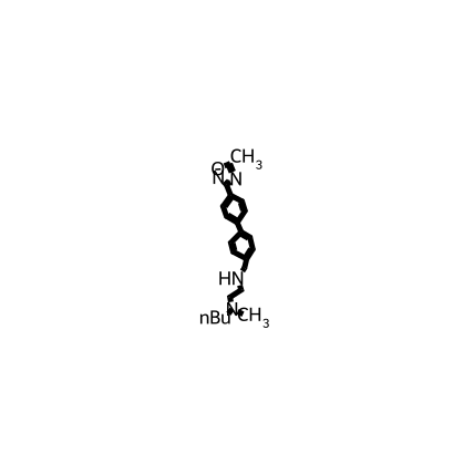 CCCCN(C)CCNCc1ccc(-c2ccc(-c3noc(C)n3)cc2)cc1